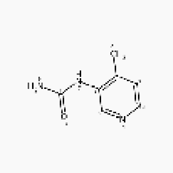 Cc1c[c]ncc1NC(N)=O